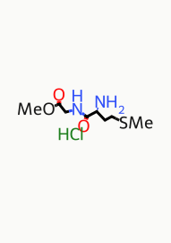 COC(=O)CNC(=O)[C@H](N)CCSC.Cl